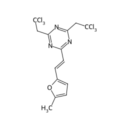 Cc1ccc(C=Cc2nc(CC(Cl)(Cl)Cl)nc(CC(Cl)(Cl)Cl)n2)o1